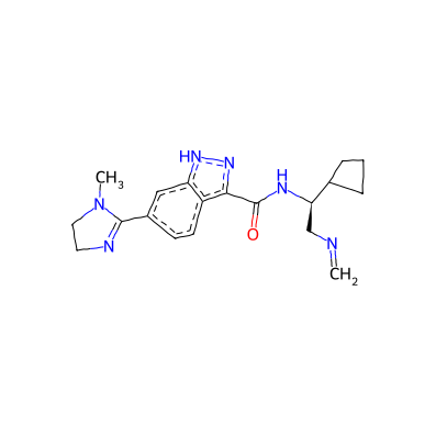 C=NC[C@@H](NC(=O)c1n[nH]c2cc(C3=NCCN3C)ccc12)C1CCC1